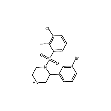 Cc1c(Cl)cccc1S(=O)(=O)N1CCNCC1c1cccc(Br)c1